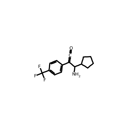 NC(C(=C=O)c1ccc(C(F)(F)F)cc1)C1CCCC1